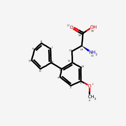 COc1ccc(-c2ccccc2)c(C[C@H](N)C(=O)O)c1